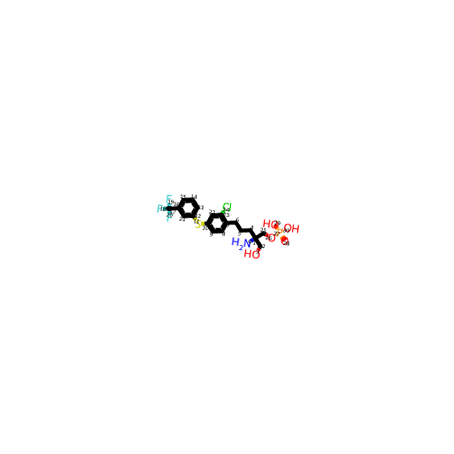 NC(CO)(CCCc1ccc(Sc2cccc(C(F)(F)F)c2)cc1Cl)COP(=O)(O)O